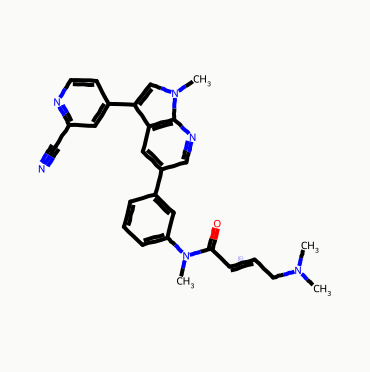 CN(C)C/C=C/C(=O)N(C)c1cccc(-c2cnc3c(c2)c(-c2ccnc(C#N)c2)cn3C)c1